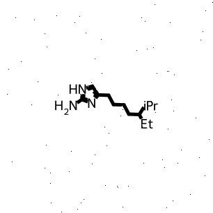 CCC(CCCCc1c[nH]c(N)n1)C(C)C